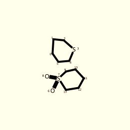 C1CCSCC1.O=S1(=O)CCCCC1